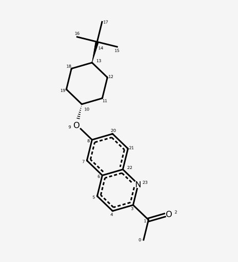 CC(=O)c1ccc2cc(O[C@H]3CC[C@H](C(C)(C)C)CC3)ccc2n1